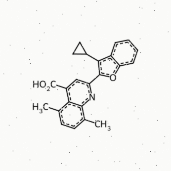 Cc1ccc(C)c2c(C(=O)O)cc(-c3oc4ccccc4c3C3CC3)nc12